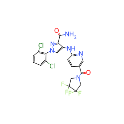 NC(=O)c1nn(-c2c(Cl)cccc2Cl)cc1Nc1ccc(C(=O)N2CC(F)(F)C(F)(F)C2)cn1